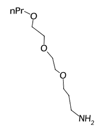 CCCOCCOCCOCCCN